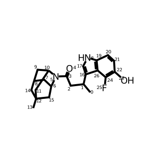 CC(CC(=O)N1C2CC3CC1CC(C)(C3)C2)c1c[nH]c2ccc(O)c(F)c12